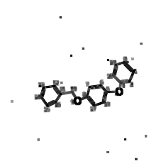 [c]1ccc(Oc2ccc(OCc3ccccc3)cc2)cc1